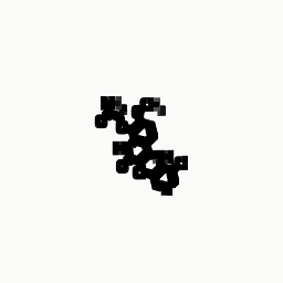 COc1ccc2c(Nc3c(Cl)cncc3Cl)cc(=O)[nH]c2c1OCC(N)=O